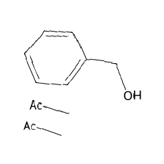 CC(C)=O.CC(C)=O.OCc1ccccc1